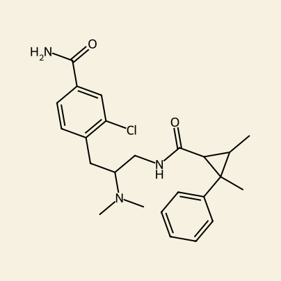 CC1C(C(=O)NCC(Cc2ccc(C(N)=O)cc2Cl)N(C)C)C1(C)c1ccccc1